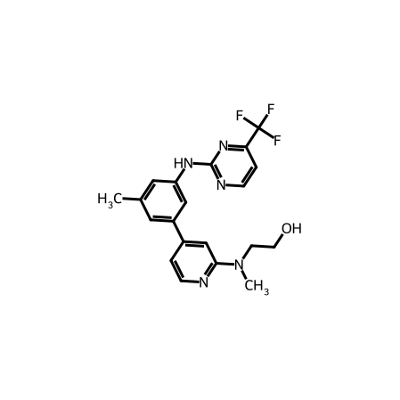 Cc1cc(Nc2nccc(C(F)(F)F)n2)cc(-c2ccnc(N(C)CCO)c2)c1